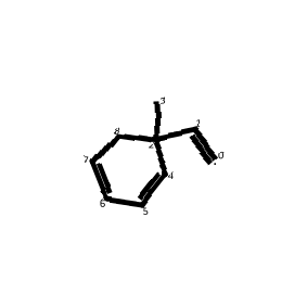 [CH]=CC1(C)C=CC=CC1